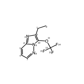 CCc1nc2cccnn2c1OC(F)(F)F